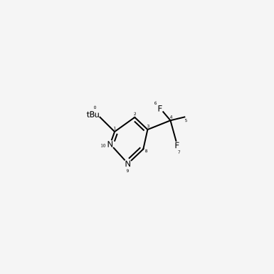 CC(C)(C)c1cc(C(C)(F)F)cnn1